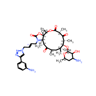 CC[C@H]1OC(=O)[C@H](C)C(=O)[C@H](C)[C@@H](O[C@@H]2O[C@H](C)CC(N)C2O)[C@](C)(OC)C[C@@H](C)C(=O)[C@H](C)[C@H]2N(C/C=C/Cn3cc(-c4cccc(N)c4)nn3)C(=O)O[C@]12C